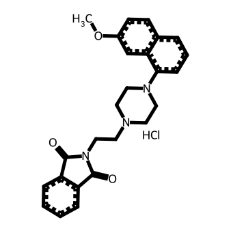 COc1ccc2cccc(N3CCN(CCN4C(=O)c5ccccc5C4=O)CC3)c2c1.Cl